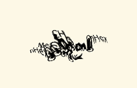 C=Cc1cc(C(=O)Nc2ccc(CNC(=O)OCCCCCC)cc2)c(-c2ccc(C(=O)NCC3CC3)nc2C(=O)OC(C)OC(=O)OCCCCCC)cc1OC